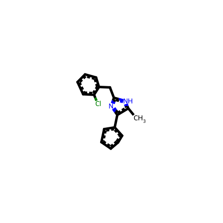 Cc1[nH]c(Cc2ccccc2Cl)nc1-c1ccccc1